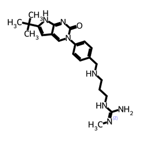 C/N=C(/N)NCCCNCc1ccc(-n2cc3cc(C(C)(C)C)[nH]c3nc2=O)cc1